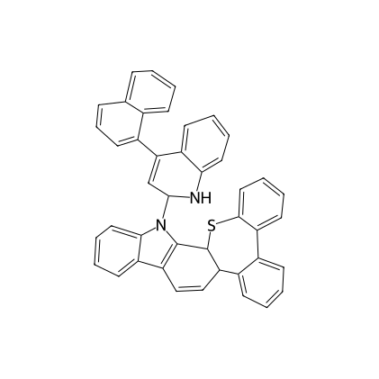 C1=CC2c3ccccc3-c3ccccc3SC2c2c1c1ccccc1n2C1C=C(c2cccc3ccccc23)c2ccccc2N1